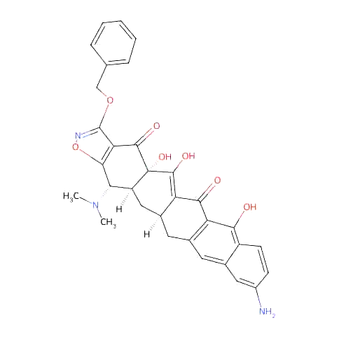 CN(C)[C@@H]1c2onc(OCc3ccccc3)c2C(=O)[C@@]2(O)C(O)=C3C(=O)c4c(cc5cc(N)ccc5c4O)C[C@H]3C[C@@H]12